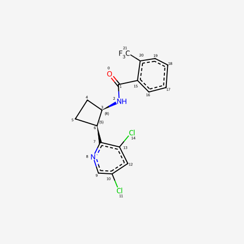 O=C(N[C@@H]1CC[C@@H]1c1ncc(Cl)cc1Cl)c1ccccc1C(F)(F)F